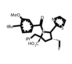 COc1cc(C(=O)N2C(c3nccs3)[C@H](CF)C[C@@]2(CC(C)C)C(=O)O)ccc1C(C)(C)C